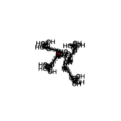 O=C(O)C(CCCCN(Cc1cn(CCCCCO[C@H]2C[C@@H](O)[C@@H](O)[C@@H](CO)O2)nn1)Cc1cn(CCCCCO[C@H]2C[C@@H](O)[C@@H](O)[C@@H](CO)O2)nn1)N(Cc1cn(CCCCCO[C@H]2C[C@@H](O)[C@@H](O)[C@@H](CO)O2)nn1)Cc1cn(CCCCCO[C@H]2C[C@@H](O)[C@@H](O)[C@@H](CO)O2)nn1